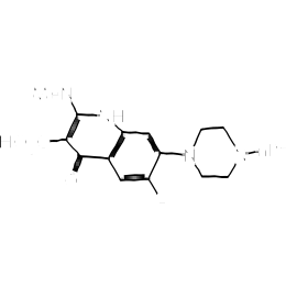 CCCN1CCN(c2cc3[nH]c(NC)c(C(=O)O)c(=O)c3cc2F)CC1